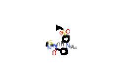 CCCN(C(=O)c1cccc(N(C(C)=O)c2ccc(S(=O)(=O)CC3CC3)cc2)c1)c1nccs1